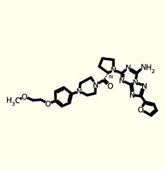 COCCOc1ccc(N2CCN(C(=O)[C@@H]3CCCN3c3nc(N)n4nc(-c5ccco5)nc4n3)CC2)cc1